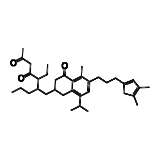 CCCC(CC1CC(=O)c2c(C)c(CCCC3=CC(C)=C(C)C3)cc(C(C)C)c2C1)C(CC)C(=O)CC(C)=O